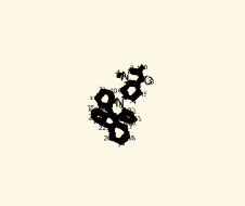 Cc1cn(C)c2cc(N3c4ccccc4C4(c5ccccc5-c5ccccc54)c4ccccc43)ccc2c1=O